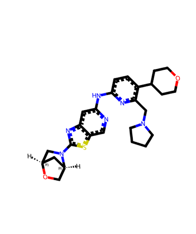 c1cc(C2CCOCC2)c(CN2CCCC2)nc1Nc1cc2nc(N3C[C@H]4C[C@@H]3CO4)sc2cn1